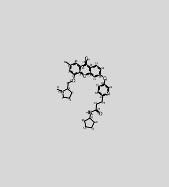 Cc1cc(OCC2CCCN2C)c2oc3cc(Oc4ccc(CCC(=O)NC5CCCC5)nc4)ccc3c(=O)c2c1